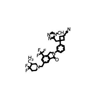 CC1CN(Cc2cc3c(c(C(F)(F)F)c2)CN(c2cccc(C4(Cc5nncn5C)CC(C#N)C4)c2)C3=O)CCC1(F)F